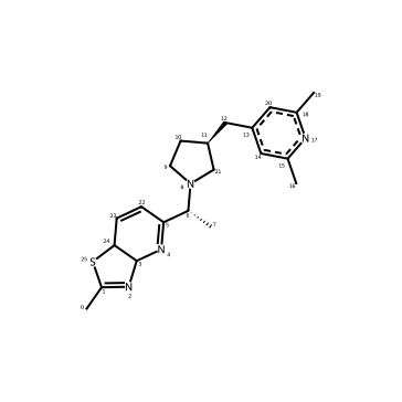 CC1=NC2N=C([C@@H](C)N3CC[C@@H](Cc4cc(C)nc(C)c4)C3)C=CC2S1